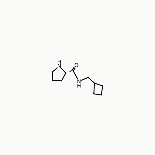 O=C(NCC1CCC1)[C@@H]1CCCN1